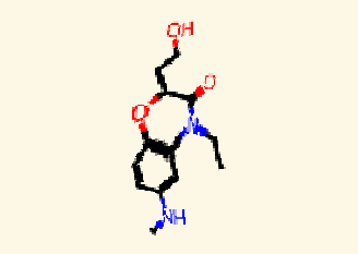 CCN1C(=O)C(CCO)Oc2ccc(NC)cc21